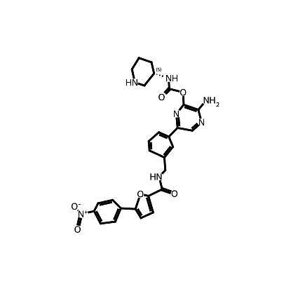 Nc1ncc(-c2cccc(CNC(=O)c3ccc(-c4ccc([N+](=O)[O-])cc4)o3)c2)nc1OC(=O)N[C@H]1CCCNC1